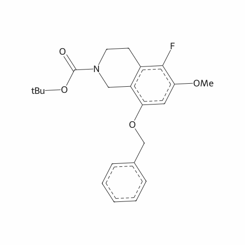 COc1cc(OCc2ccccc2)c2c(c1F)CCN(C(=O)OC(C)(C)C)C2